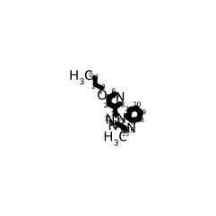 CCCCOc1cncc(-c2nnc3c(C)nc4ccccc4n23)c1